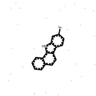 [2H]c1ccc2c(c1)[nH]c1c3ccccc3ccc21